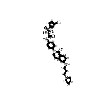 O=C(Nc1ccc(-n2ccc3cc(NCCCN4CCCC4)ccc3c2=O)cc1)NS(=O)(=O)c1ccc(Cl)s1